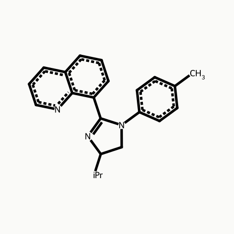 Cc1ccc(N2CC(C(C)C)N=C2c2cccc3cccnc23)cc1